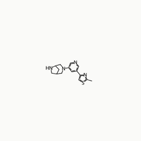 Cc1nc(-c2cncc(N3CC4CNC(C4)C3)c2)cs1